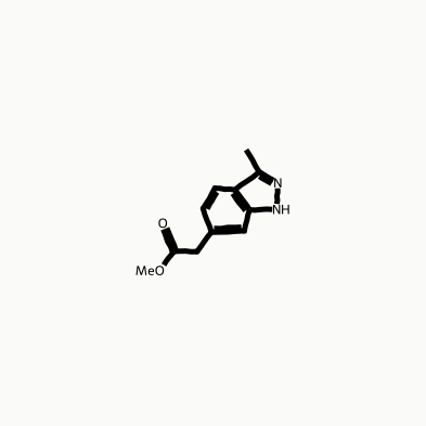 COC(=O)Cc1ccc2c(C)n[nH]c2c1